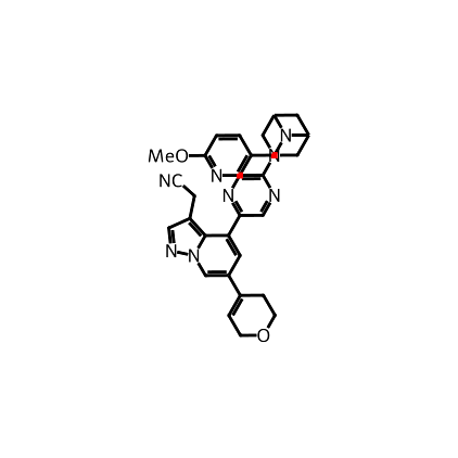 COc1ccc(CN2C3CC2CN(c2cnc(-c4cc(C5=CCOCC5)cn5ncc(CC#N)c45)cn2)C3)cn1